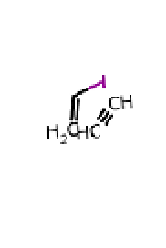 C#C.C=CI